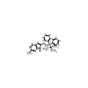 CC(C)(C)[Si](OCc1cc2cnc(Cl)nc2[nH]1)(c1ccccc1)c1ccccc1